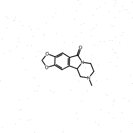 CN1CCN2C(=O)c3cc4c(cc3C2C1)OCO4